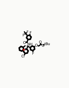 CC(C)(C)OC(=O)COc1cc(F)cc([C@](Cc2ccccc2)(NC(=O)c2ccc(F)c(C(C)(F)F)c2)c2ccc(Cl)cn2)c1